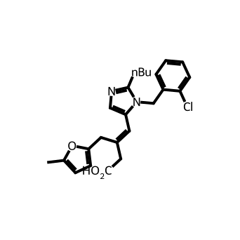 CCCCc1ncc(/C=C(/CC(=O)O)Cc2ccc(C)o2)n1Cc1ccccc1Cl